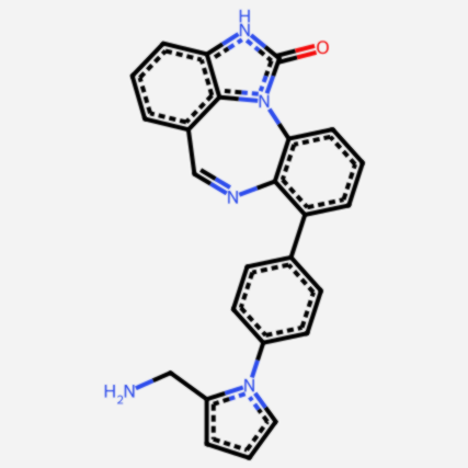 NCc1cccn1-c1ccc(-c2cccc3c2N=Cc2cccc4[nH]c(=O)n-3c24)cc1